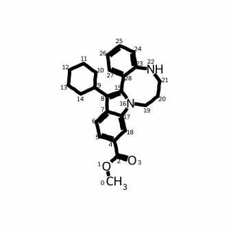 COC(=O)c1ccc2c(C3CCCCC3)c3n(c2c1)CCCNc1ccccc1-3